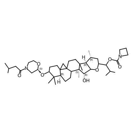 CC(C)CC(=O)N1CCO[C@@H](OC2CCC34CC35CCC3(C)[C@@H]6C(OC(C(OC(=O)N7CCC7)C(C)C)C[C@H]6C)[C@H](O)[C@@]3(C)C5CC[C@H]4C2(C)C)C1